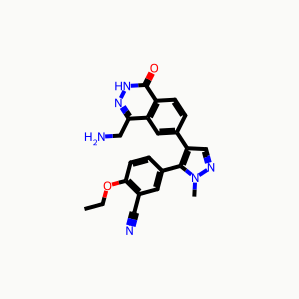 CCOc1ccc(-c2c(-c3ccc4c(=O)[nH]nc(CN)c4c3)cnn2C)cc1C#N